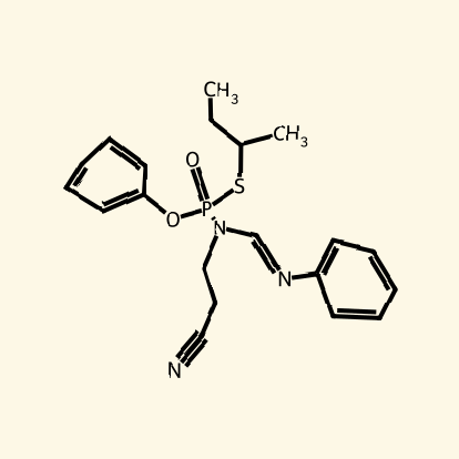 CCC(C)SP(=O)(Oc1ccccc1)N(C=Nc1ccccc1)CCC#N